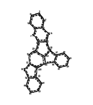 c1ccc2nc3c(nc2c1)c1cc2sc4ccccc4c2c2c4ccccc4n3c12